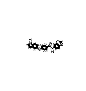 O=C(Nc1ccc2c(c1)OCO2)c1ccc(Oc2ccc3[nH]ccc3c2)cc1